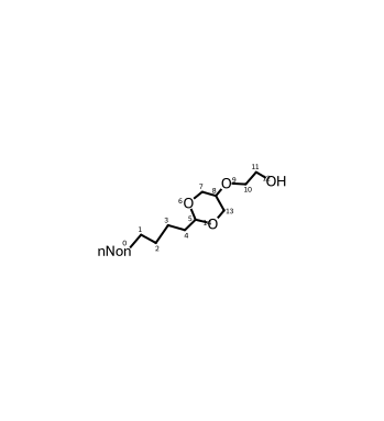 CCCCCCCCCCCCCC1OCC(OCCO)CO1